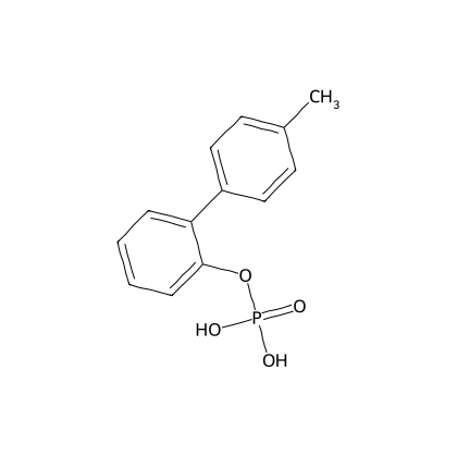 Cc1ccc(-c2ccccc2OP(=O)(O)O)cc1